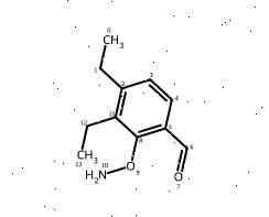 CCc1ccc([C]=O)c(ON)c1CC